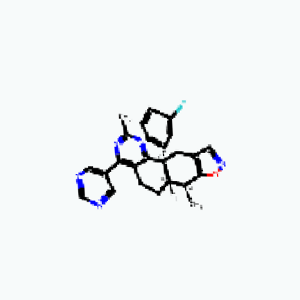 Cc1nc(-c2cncnc2)c2c(n1)[C@@]1(c3cccc(F)c3)Cc3cnoc3[C@@H](C)[C@@H]1CC2